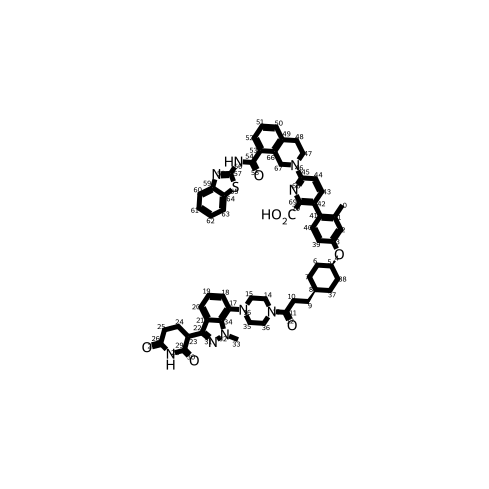 Cc1cc(O[C@H]2CC[C@H](CCC(=O)N3CCN(c4cccc5c(C6CCC(=O)NC6=O)nn(C)c45)CC3)CC2)ccc1-c1ccc(N2CCc3cccc(C(=O)Nc4nc5ccccc5s4)c3C2)nc1C(=O)O